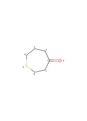 O=C1CCCSCC1